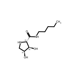 CCCCCNC(=O)[C@H]1NC[C@H](O)[C@@H]1O